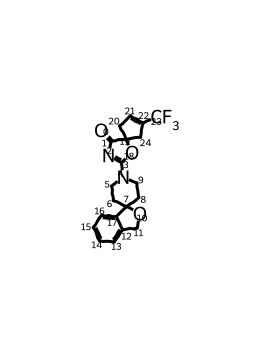 O=C1N=C(N2CCC3(CC2)OCc2ccccc23)OC12CC=C(C(F)(F)F)C2